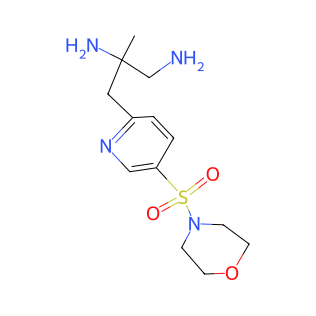 CC(N)(CN)Cc1ccc(S(=O)(=O)N2CCOCC2)cn1